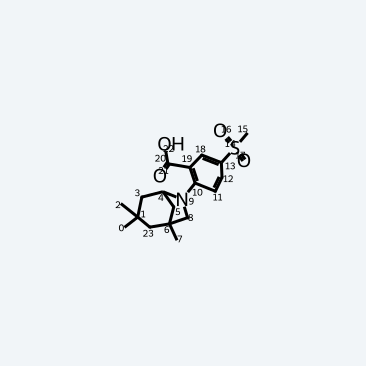 CC1(C)CC2CC(C)(CN2c2ccc(S(C)(=O)=O)cc2C(=O)O)C1